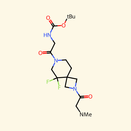 CNCC(=O)N1CC2(CCN(C(=O)CNC(=O)OC(C)(C)C)CC2(F)F)C1